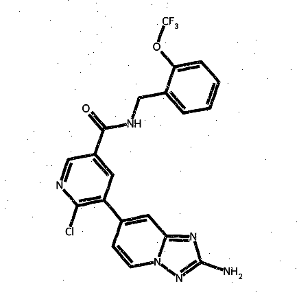 Nc1nc2cc(-c3cc(C(=O)NCc4ccccc4OC(F)(F)F)cnc3Cl)ccn2n1